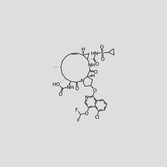 C[C@@H]1CC/C=C\[C@@H]2C[C@@]2(C(=O)NS(=O)(=O)C2CC2)NC(=O)[C@@H]2C[C@@H](Oc3ncc(OC(F)F)c4c(Cl)cccc34)CN2C(=O)[C@@H](NC(=O)O)[C@H](C)C1